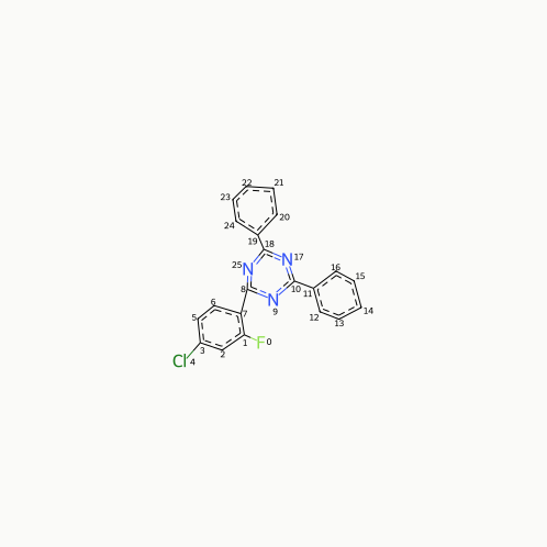 Fc1cc(Cl)ccc1-c1nc(-c2ccccc2)nc(-c2ccccc2)n1